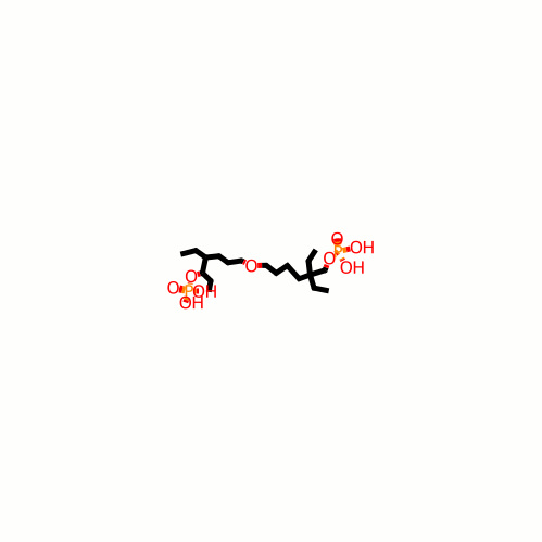 CCC(CCCOCCCCC(CC)(CC)COP(=O)(O)O)C(CC)OP(=O)(O)O